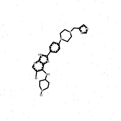 CCN1CCC(Nc2c(Br)cnc3[nH]c(-c4ccc(N5CCN(Cc6cscn6)CC5)cc4)nc23)CC1